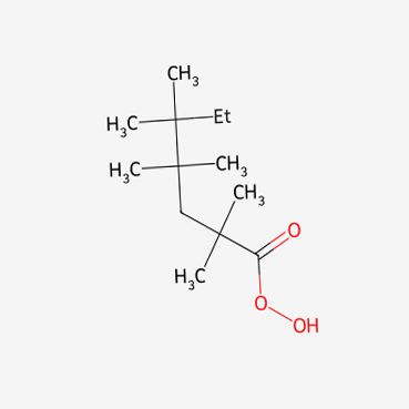 CCC(C)(C)C(C)(C)CC(C)(C)C(=O)OO